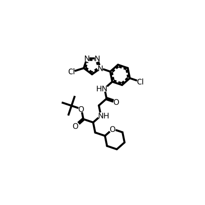 CC(C)(C)OC(=O)C(CC1CCCCO1)NCC(=O)Nc1cc(Cl)ccc1-n1cc(Cl)nn1